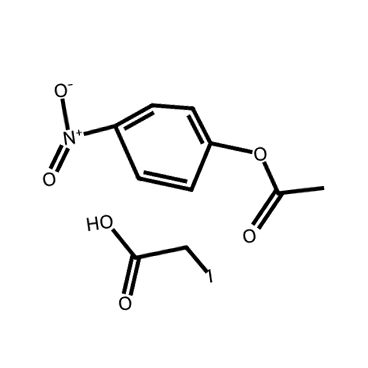 CC(=O)Oc1ccc([N+](=O)[O-])cc1.O=C(O)CI